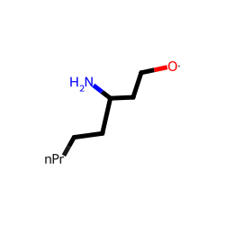 CCCCCC(N)CC[O]